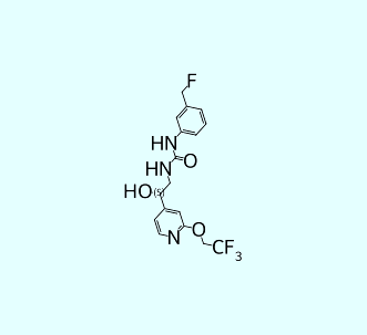 O=C(NC[C@@H](O)c1ccnc(OCC(F)(F)F)c1)Nc1cccc(CF)c1